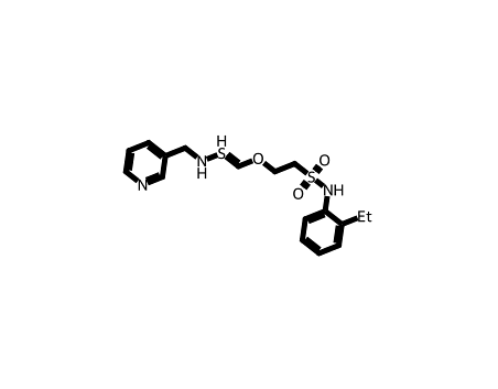 CCc1ccccc1NS(=O)(=O)CCOC=[SH]NCc1cccnc1